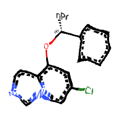 CCC[C@@H](Oc1cc(Cl)cn2cncc12)c1ccccc1